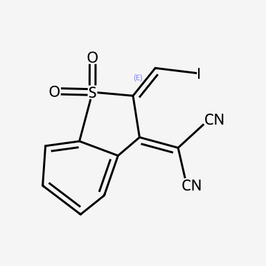 N#CC(C#N)=C1/C(=C\I)S(=O)(=O)c2ccccc21